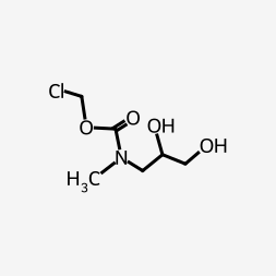 CN(CC(O)CO)C(=O)OCCl